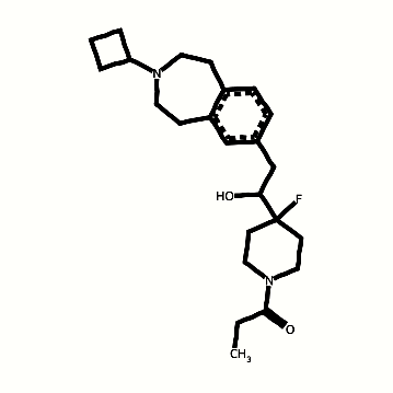 CCC(=O)N1CCC(F)(C(O)Cc2ccc3c(c2)CCN(C2CCC2)CC3)CC1